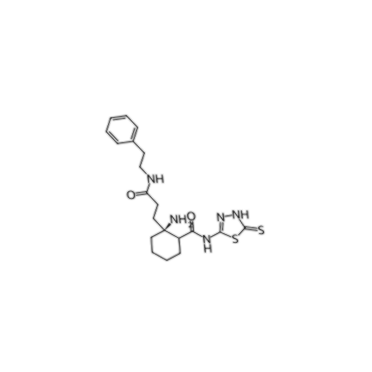 N[C@]1(CCC(=O)NCCc2ccccc2)CCCCC1C(=O)Nc1n[nH]c(=S)s1